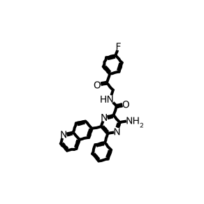 Nc1nc(-c2ccccc2)c(-c2ccc3ncccc3c2)nc1C(=O)NCC(=O)c1ccc(F)cc1